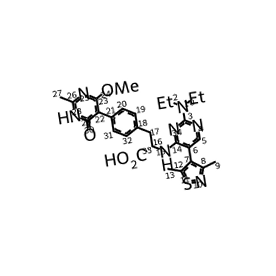 CCN(CC)c1ncc(-c2c(C)nsc2C)c(N[C@@H](Cc2ccc(-c3c(OC)nc(C)[nH]c3=O)cc2)C(=O)O)n1